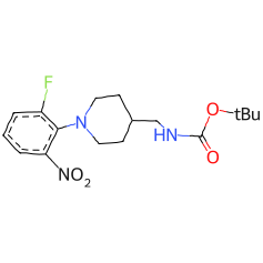 CC(C)(C)OC(=O)NCC1CCN(c2c(F)cccc2[N+](=O)[O-])CC1